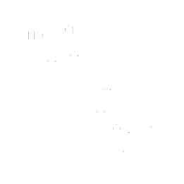 C=C(C)C(=O)OC1C2CC3CC1CC(C(=O)OCOC14CC5CC(CC(C5)C1)C4)(C3)C2